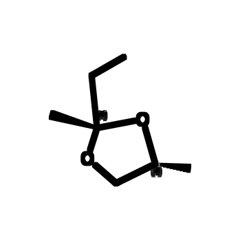 CC[C@@]1(C)OC[C@@H](C)O1